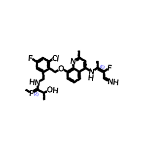 C/P=C(\NCc1cc(F)cc(Cl)c1COc1cccc2c(N/C(C)=C(/F)C=N)cc(C)nc12)C(C)O